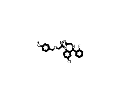 COc1ccc(COCc2nnc3n2-c2ccc(Cl)cc2C(c2ccccc2F)=NC3)cc1